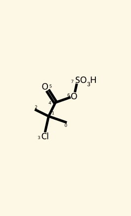 CC(C)(Cl)C(=O)OS(=O)(=O)O